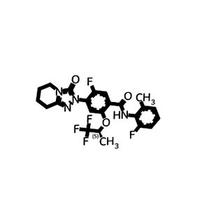 Cc1cccc(F)c1NC(=O)c1cc(F)c(-n2nc3n(c2=O)CCCC3)cc1O[C@@H](C)C(F)(F)F